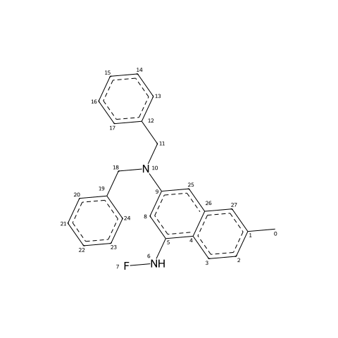 Cc1ccc2c(NF)cc(N(Cc3ccccc3)Cc3ccccc3)cc2c1